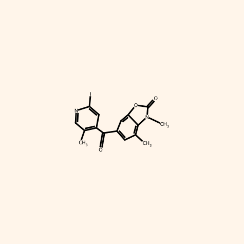 Cc1cnc(I)cc1C(=O)c1cc(C)c2c(c1)oc(=O)n2C